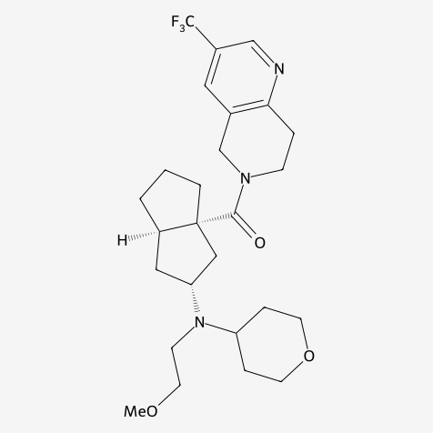 COCCN(C1CCOCC1)[C@@H]1C[C@H]2CCC[C@@]2(C(=O)N2CCc3ncc(C(F)(F)F)cc3C2)C1